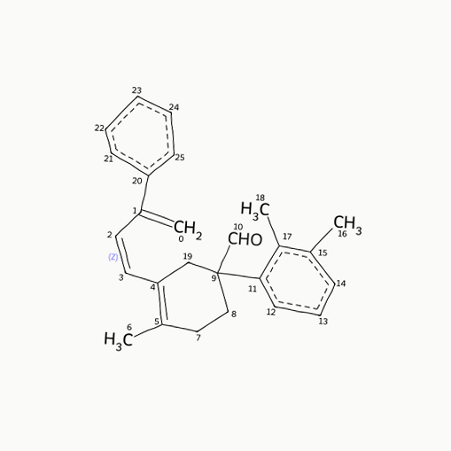 C=C(/C=C\C1=C(C)CCC(C=O)(c2cccc(C)c2C)C1)c1ccccc1